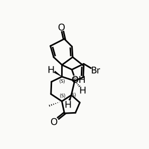 C[C@]12CC[C@H]3[C@@H](C=CC4=CC(=O)C=CC43C(O)CBr)[C@@H]1CCC2=O